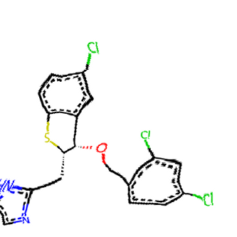 Clc1ccc(CO[C@H]2c3cc(Cl)ccc3S[C@H]2Cc2ncc[nH]2)c(Cl)c1